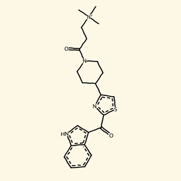 C[N+](C)(C)CCC(=O)N1CCC(c2csc(C(=O)c3c[nH]c4ccccc34)n2)CC1